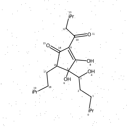 CC(C)CCC(O)C1(O)C(O)=C(C(=O)CC(C)C)C(=O)C1CCC(C)C